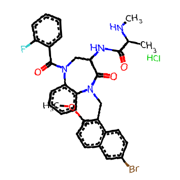 CNC(C)C(=O)NC1CN(C(=O)c2ccccc2F)c2ccccc2N(Cc2c(OC)ccc3cc(Br)ccc23)C1=O.Cl